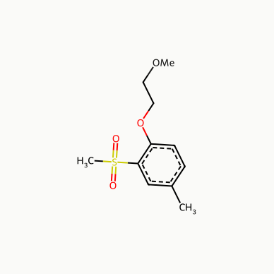 COCCOc1ccc(C)cc1S(C)(=O)=O